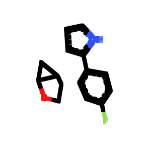 C1CC2CC2O1.Fc1ccc(-c2ccc[nH]2)cc1